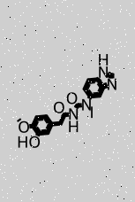 COc1ccc(CC(=O)NC(=O)N(I)c2ccc3[nH]cnc3c2)cc1O